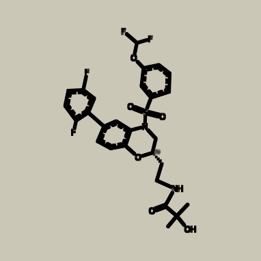 CC(C)(O)C(=O)NCC[C@H]1CN(S(=O)(=O)c2cccc(OC(F)F)c2)c2cc(-c3cc(F)ccc3F)ccc2O1